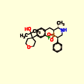 C[C@@H]1NC[C@@H](c2ccccc2)S(=O)(=O)C1Cc1ccc(C2(C(C)(C)O)CCOCC2)cc1F